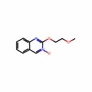 COCCOc1nc2ccccc2c[n+]1[O-]